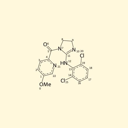 COc1ccc(C(=O)N2CCN=C2Nc2c(Cl)cccc2Cl)nc1